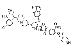 C/C(CN1CCN(c2cnc(C(=O)NS(=O)(=O)c3ccc(OCC4(F)CCNCC4)c([N+](=O)[O-])c3)c(Oc3cnc4[nH]ccc4c3)c2)CC1)=C(\CC(C)C)c1ccc(Cl)cc1